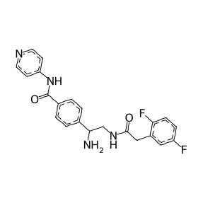 NC(CNC(=O)Cc1cc(F)ccc1F)c1ccc(C(=O)Nc2ccncc2)cc1